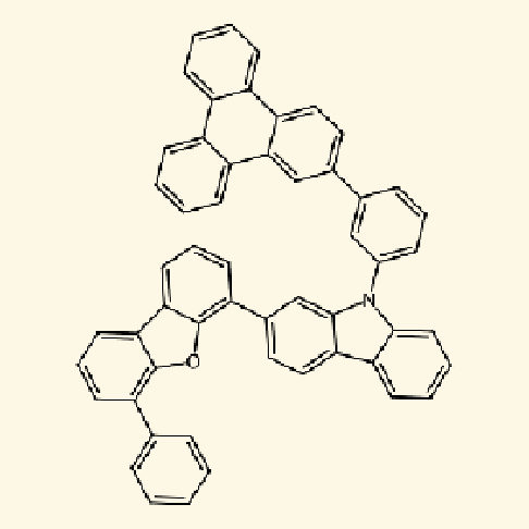 c1ccc(-c2cccc3c2oc2c(-c4ccc5c6ccccc6n(-c6cccc(-c7ccc8c9ccccc9c9ccccc9c8c7)c6)c5c4)cccc23)cc1